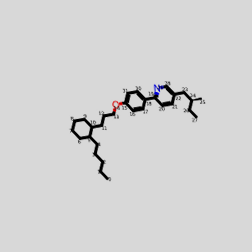 CCCCCC1CCCCC1CCCOc1ccc(-c2ccc(C[C@@H](C)CC)cn2)cc1